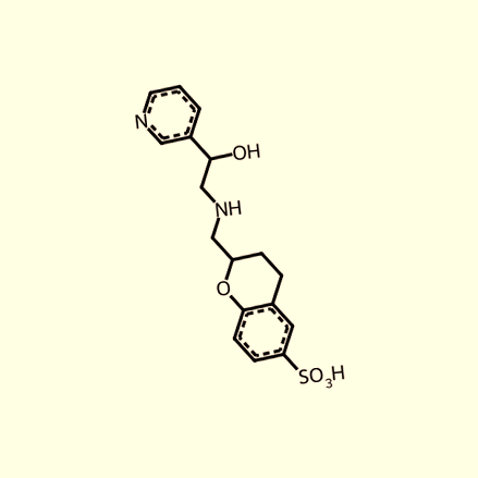 O=S(=O)(O)c1ccc2c(c1)CCC(CNCC(O)c1cccnc1)O2